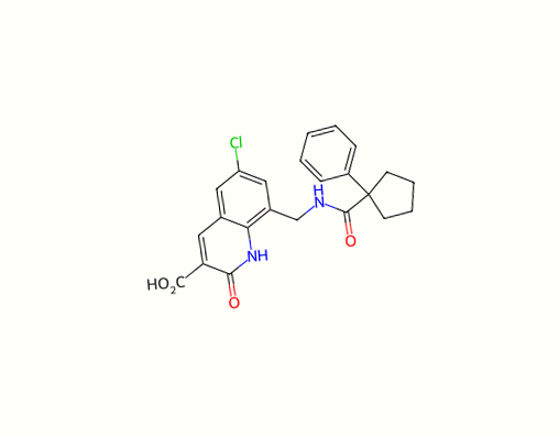 O=C(O)c1cc2cc(Cl)cc(CNC(=O)C3(c4ccccc4)CCCC3)c2[nH]c1=O